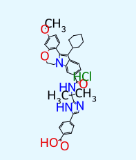 COc1ccc2c(c1)OCCn1c-2c(C2CCCCC2)c2ccc(C(=O)NC(C)(C)c3ncc(-c4ccc(C(=O)O)cc4)[nH]3)cc21.Cl